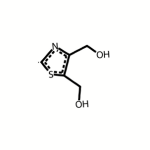 OCc1n[c]sc1CO